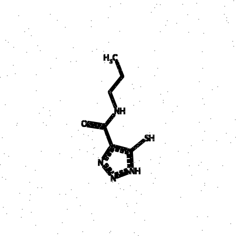 CCCNC(=O)c1nn[nH]c1S